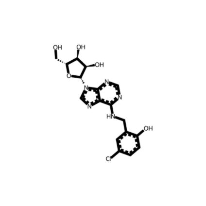 OC[C@H]1O[C@@H](n2cnc3c(NCc4cc(Cl)ccc4O)ncnc32)[C@H](O)[C@@H]1O